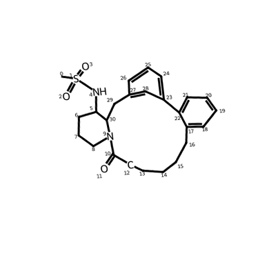 CS(=O)(=O)NC1CCCN2C(=O)CCCCCc3ccccc3-c3cccc(c3)CC12